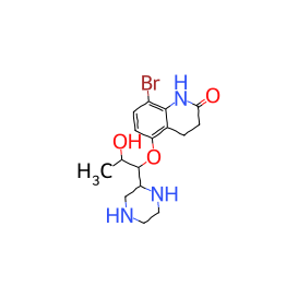 CC(O)C(Oc1ccc(Br)c2c1CCC(=O)N2)C1CNCCN1